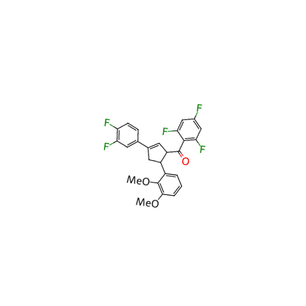 COc1cccc(C2CC(c3ccc(F)c(F)c3)=CC2C(=O)c2c(F)cc(F)cc2F)c1OC